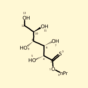 CCCOC(=S)[C@H](O)[C@@H](O)[C@H](O)[C@H](O)CO